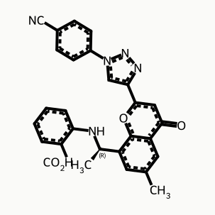 Cc1cc([C@@H](C)Nc2ccccc2C(=O)O)c2oc(-c3cn(-c4ccc(C#N)cc4)nn3)cc(=O)c2c1